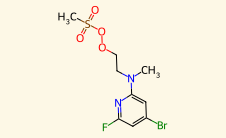 CN(CCOOS(C)(=O)=O)c1cc(Br)cc(F)n1